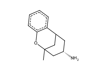 CC12CC(C[C@H](N)C1)c1ccccc1O2